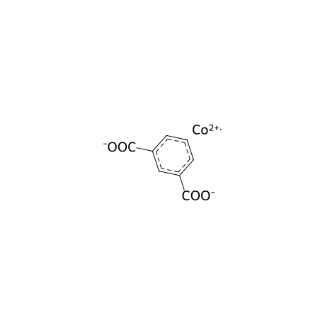 O=C([O-])c1cccc(C(=O)[O-])c1.[Co+2]